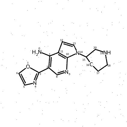 Nc1c(-c2ncco2)cnc2c1ccn2C1CCCNC1